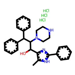 Cc1[nH]c(-c2ccccc2)nc1C(O)C(C(c1ccccc1)c1ccccc1)N1CCNCC1.Cl.Cl.Cl